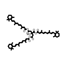 CC1=C(/C=C/C(C)=C/C=C/C(C)=C/C(=O)OC(=O)CC(O)(CC(=O)OC(=O)/C=C(C)/C=C/C=C(C)/C=C/C2=C(C)CCCC2(C)C)C(=O)OC(=O)/C=C(C)/C=C/C=C(C)/C=C/C2=C(C)CCCC2(C)C)C(C)(C)CCC1